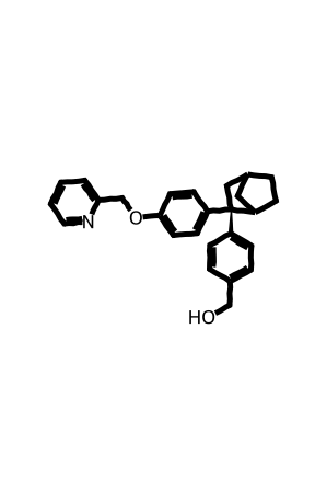 OCc1ccc([C@@]2(c3ccc(OCc4ccccn4)cc3)CC3CCC2C3)cc1